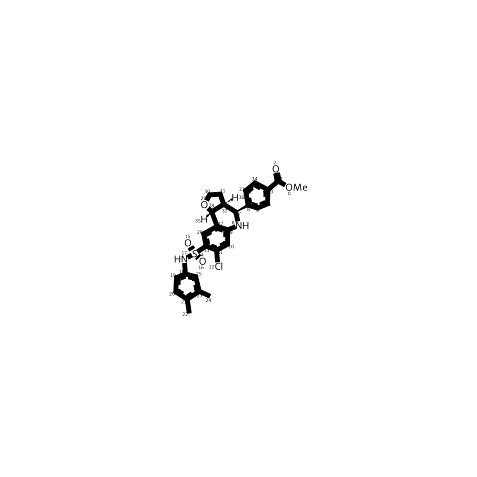 COC(=O)c1ccc([C@H]2Nc3cc(Cl)c(S(=O)(=O)Nc4ccc(C)c(C)c4)cc3[C@H]3OCC[C@@H]23)cc1